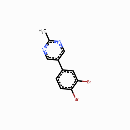 Cc1ncc(-c2ccc(Br)c(Br)c2)cn1